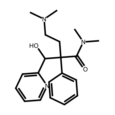 CN(C)CCC(C(=O)N(C)C)(c1ccccc1)C(O)c1ccccn1